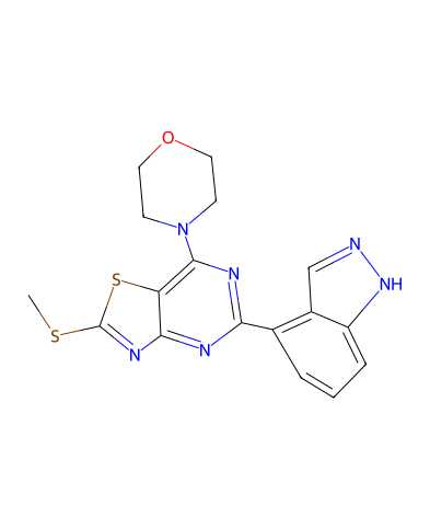 CSc1nc2nc(-c3cccc4[nH]ncc34)nc(N3CCOCC3)c2s1